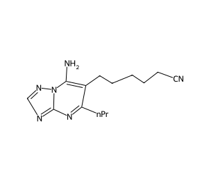 CCCc1nc2ncnn2c(N)c1CCCCCC#N